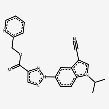 CC(C)n1cc(C#N)c2cc(-n3ncc(C(=O)OCc4ccccn4)n3)ccc21